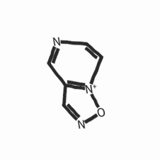 c1c[n+]2oncc2cn1